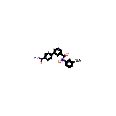 COc1cccc(N(O)C(=O)c2cccc(-c3ccc(C(N)=O)cc3)c2)c1